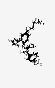 COCCOc1ccc(NC(=O)Nc2cc(C(F)(F)F)no2)c(-c2nccs2)c1